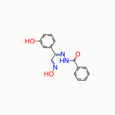 O=C(NN=C(C=NO)c1cccc(O)c1)c1ccccc1